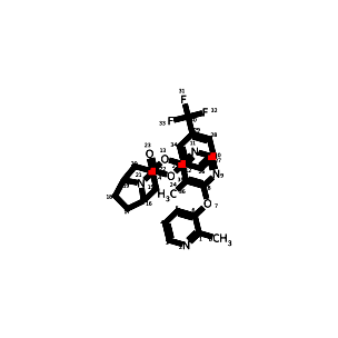 Cc1ncccc1Oc1ncnc(OC2CC3CCC(C2)N3C(=O)Oc2cccc(C(F)(F)F)c2)c1C